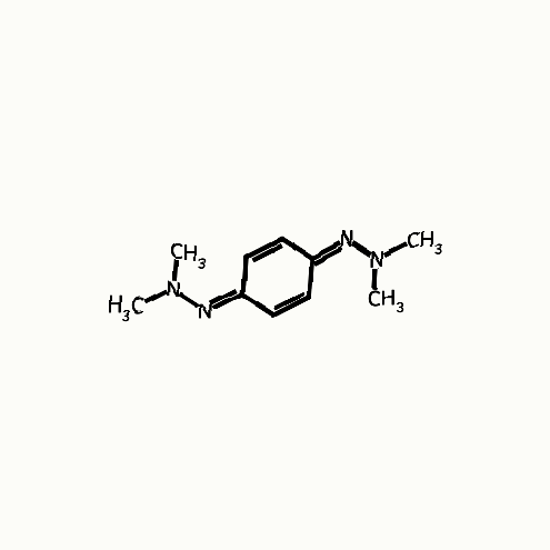 CN(C)N=C1C=CC(=NN(C)C)C=C1